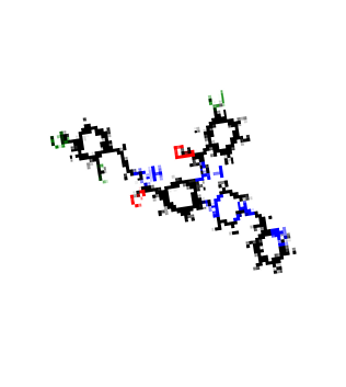 O=C(NCCc1ccc(Cl)cc1Cl)c1ccc(N2CCN(Cc3ccccn3)CC2)c(NC(=O)c2cccc(Cl)c2)c1